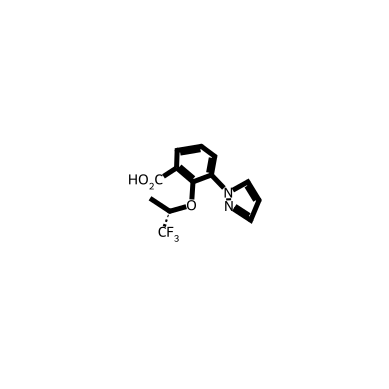 C[C@H](Oc1c(C(=O)O)cccc1-n1cccn1)C(F)(F)F